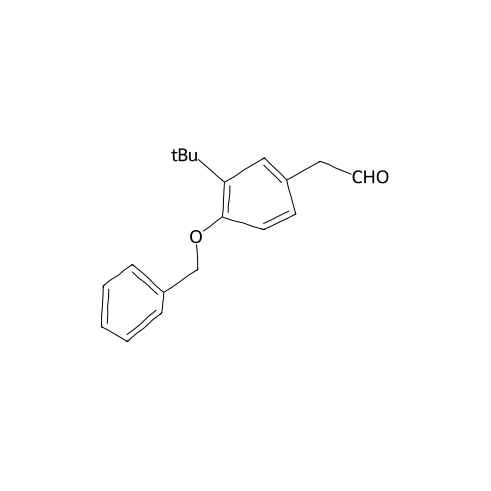 CC(C)(C)c1cc(CC=O)ccc1OCc1ccccc1